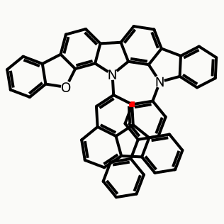 c1ccc(-c2ccc(-n3c4ccccc4c4ccc5c6ccc7c8ccccc8oc7c6n(-c6cc7c8c(cccc8c6)-c6ccccc6-7)c5c43)cc2)cc1